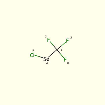 FC(F)(F)[Se]Cl